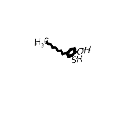 CCCCCCCCc1ccc(O)c(S)c1